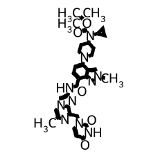 Cc1cn2cc(NC(=O)c3ccc(N4CCC(N(C(=O)OC(C)(C)C)C5CC5)CC4)c4cn(C)nc34)nc2c(Cn2ccc(=O)[nH]c2=O)n1